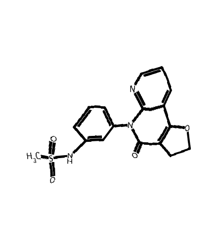 CS(=O)(=O)Nc1cccc(-n2c(=O)c3c(c4cccnc42)OCC3)c1